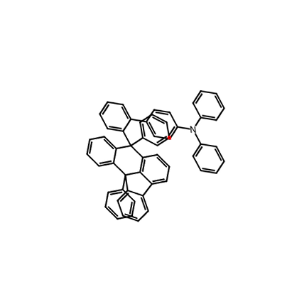 c1ccc(N(c2ccccc2)c2ccc(-c3ccccc3C3(c4ccccc4)c4ccccc4C4(c5ccccc5)c5ccccc5-c5cccc3c54)cc2)cc1